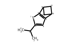 CC(C)c1cc2c(s1)C1CC2C1